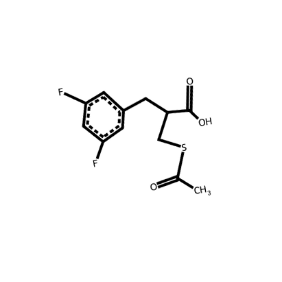 CC(=O)SCC(Cc1cc(F)cc(F)c1)C(=O)O